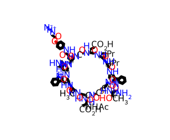 CC(=O)N[C@@H](CC(=O)O)C(=O)N[C@H]1CNC(=O)CSC[C@@H](C(=O)N[C@H](C(N)=O)[C@@H](C)O)NC(=O)[C@H](Cc2c[nH]c3ccccc23)NC(=O)[C@H](C(C)C)NC(=O)[C@H](CC(C)C)NC(=O)[C@H](CCC(=O)O)NC(=O)CNC(=O)[C@H](CCC(=O)Nc2ccc(OC(=O)CN=[N+]=[N-])cc2)NC(=O)[C@H](Cc2c[nH]cn2)NC(=O)[C@H](Cc2c[nH]c3ccccc23)NC(=O)[C@H](C)NC1=O